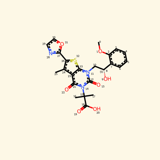 COc1ccccc1[C@H](O)Cn1c(=O)n(C(C)(C)C(=O)O)c(=O)c2c(C)c(-c3ncco3)sc21